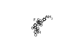 NCc1ccc(CNC(=O)C(OC(=O)C(F)(F)F)Oc2cccc3c2C(=O)N(C2CCC(=O)NC2=O)C3=O)cc1